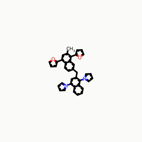 Cc1cc(-c2ccco2)c2ccc(Cc3cc(-n4cccc4)c4ccccc4c3-n3cccc3)cc2c1-c1ccco1